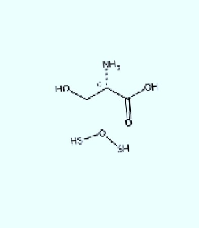 N[C@@H](CO)C(=O)O.SOS